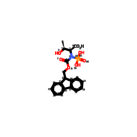 C[C@@H](O)[C@@H](C(=O)O)N(C(=O)OCC1c2ccccc2-c2ccccc21)P(=O)(O)O